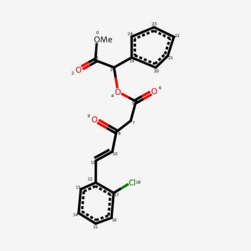 COC(=O)C(OC(=O)CC(=O)C=Cc1ccccc1Cl)c1ccccc1